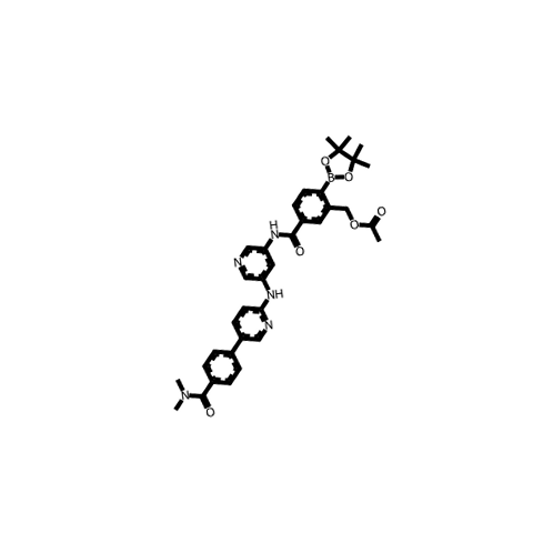 CC(=O)OCc1cc(C(=O)Nc2cncc(Nc3ccc(-c4ccc(C(=O)N(C)C)cc4)cn3)c2)ccc1B1OC(C)(C)C(C)(C)O1